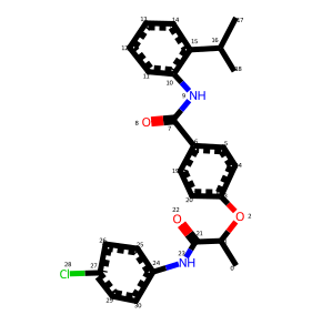 CC(Oc1ccc(C(=O)Nc2ccccc2C(C)C)cc1)C(=O)Nc1ccc(Cl)cc1